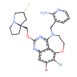 Nc1ncccc1CN1CCOc2c(Cl)c(Br)cc3nc(OC[C@@]45CCCN4C[C@H](F)C5)nc1c23